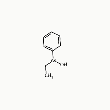 CC[As](O)c1ccccc1